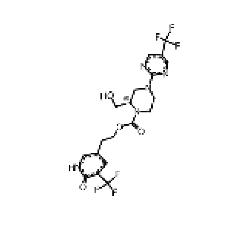 O=C(OCCc1c[nH]c(=O)c(C(F)(F)F)c1)N1CCN(c2ncc(C(F)(F)F)cn2)C[C@@H]1CO